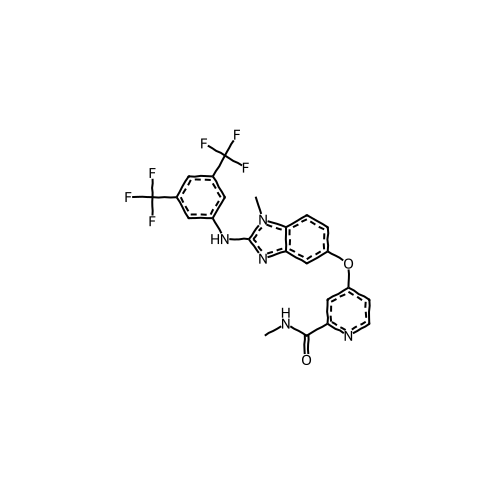 CNC(=O)c1cc(Oc2ccc3c(c2)nc(Nc2cc(C(F)(F)F)cc(C(F)(F)F)c2)n3C)ccn1